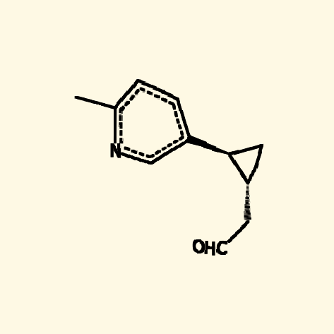 Cc1ccc([C@H]2C[C@@H]2CC=O)cn1